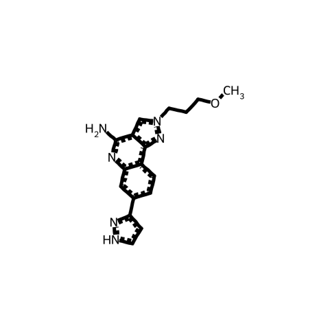 COCCCn1cc2c(N)nc3cc(-c4cc[nH]n4)ccc3c2n1